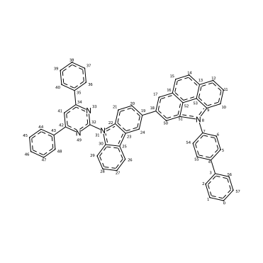 c1ccc(-c2ccc(-n3c4cccc5ccc6cc(-c7ccc8c(c7)c7ccccc7n8-c7nc(-c8ccccc8)cc(-c8ccccc8)n7)cc3c6c54)cc2)cc1